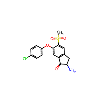 CS(=O)(=O)c1cc2c(cc1Oc1ccc(Cl)cc1)C(=O)C(N)C2